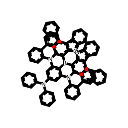 c1ccc(-c2ccccc2N2c3cc(N(c4ccccc4)c4ccccc4)cc4c3B(c3c2c2oc5ccccc5c2c2c3oc3ccccc32)c2c(c3oc5ccccc5c3c3c2oc2ccccc23)N4c2ccccc2-c2ccccc2)cc1